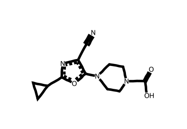 N#Cc1nc(C2CC2)oc1N1CCN(C(=O)O)CC1